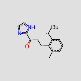 CCC(C)[CH]c1cccc(C)c1CCC(=O)c1ncc[nH]1